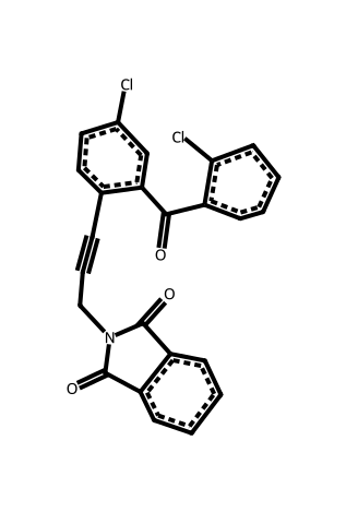 O=C(c1ccccc1Cl)c1cc(Cl)ccc1C#CCN1C(=O)c2ccccc2C1=O